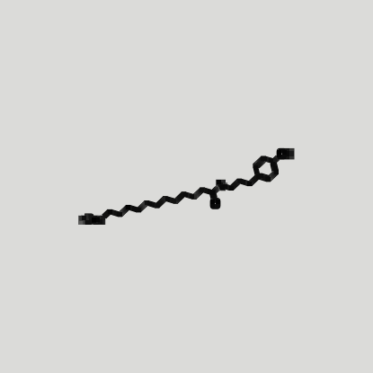 CCCCCCCCCCCCCCCCCCCCCC(=O)[N]CCCc1ccc(O)cc1